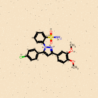 COc1ccc(-c2cc(-c3ccc(Cl)cc3)n(-c3ccccc3S(N)(=O)=O)n2)cc1OC